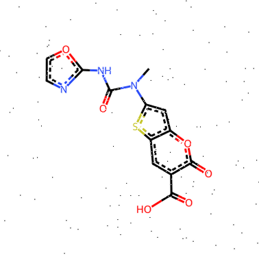 CN(C(=O)Nc1ncco1)c1cc2oc(=O)c(C(=O)O)cc2s1